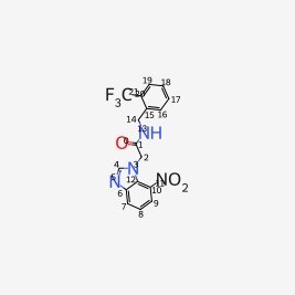 O=C(Cn1cnc2cccc([N+](=O)[O-])c21)NCc1ccccc1C(F)(F)F